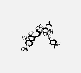 CC(=O)N1CCC2(CC1)CC(CC(C=O)NC(=O)[C@H](CC(C)C)NC(=O)OCC1CCC(F)(F)CC1)C(=O)N2